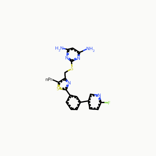 CCCc1sc(-c2cccc(-c3ccc(F)nc3)c2)nc1CSc1nc(N)cc(N)n1